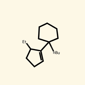 CCCCC1(C2=CCC[C]2CC)CCCCC1